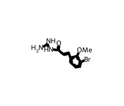 COc1c(Br)cccc1/C=C/C(=O)NC(=N)N